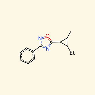 CCC1C(C)C1c1nc(-c2ccccc2)no1